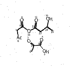 CC(=O)C(=O)O.CC(=O)CC(=O)OC(=O)CC(C)O